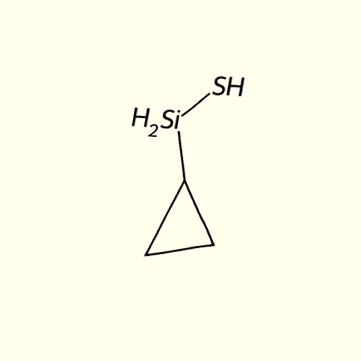 S[SiH2]C1CC1